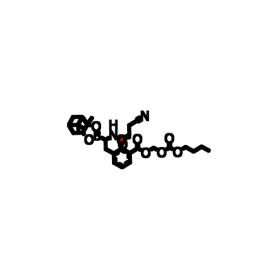 CCCCOC(=O)OCOC(=O)c1cccc(CC(NC(=O)CCC#N)B2OC3CC4CC(C4(C)C)C3(C)O2)c1OC